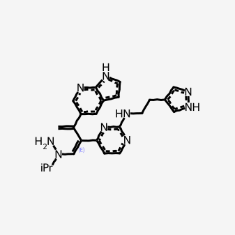 C=C(/C(=C\N(N)C(C)C)c1ccnc(NCCc2cn[nH]c2)n1)c1cnc2[nH]ccc2c1